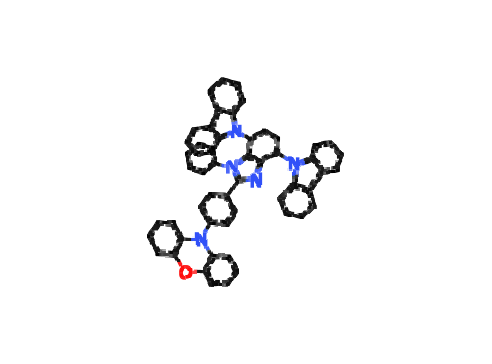 c1ccc(-n2c(-c3ccc(N4c5ccccc5Oc5ccccc54)cc3)nc3c(-n4c5ccccc5c5ccccc54)ccc(-n4c5ccccc5c5ccccc54)c32)cc1